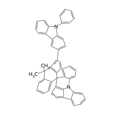 CC1(C)c2ccccc2C2(c3ccccc3-n3c4ccccc4c4cccc2c43)c2ccc(-c3ccc4c(c3)c3ccccc3n4-c3ccccc3)cc21